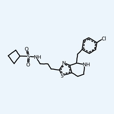 O=S(=O)(NCCCc1nc2c(s1)CCNC2Cc1ccc(Cl)cc1)C1CCC1